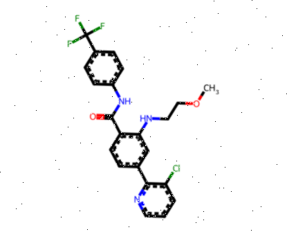 COCCNc1cc(-c2ncccc2Cl)ccc1C(=O)Nc1ccc(C(F)(F)F)cc1